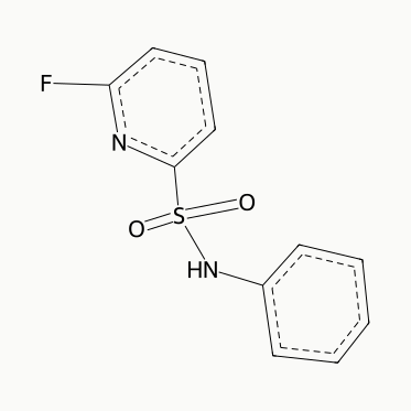 O=S(=O)(Nc1ccccc1)c1cccc(F)n1